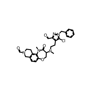 CN1C(=O)C(N(C)CCc2c(C=O)nn(Cc3ccccc3)c2Cl)COc2ccc3c(c21)CCN(C=O)C3